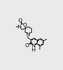 Cc1cc(C)c2[nH]c(=O)c(CN3CCCC4(C3)CN(C)C(=O)O4)cc2c1